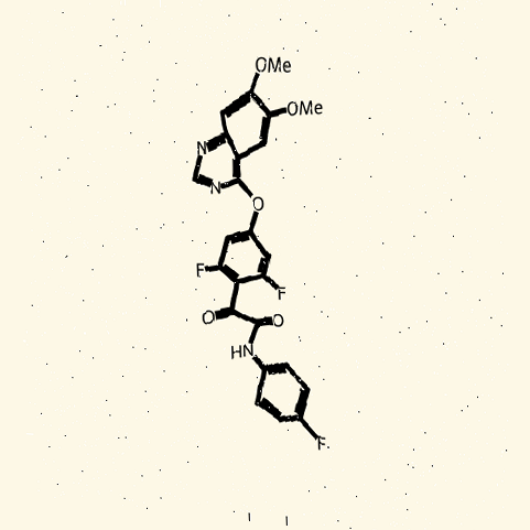 COc1cc2ncnc(Oc3cc(F)c(C(=O)C(=O)Nc4ccc(F)cc4)c(F)c3)c2cc1OC